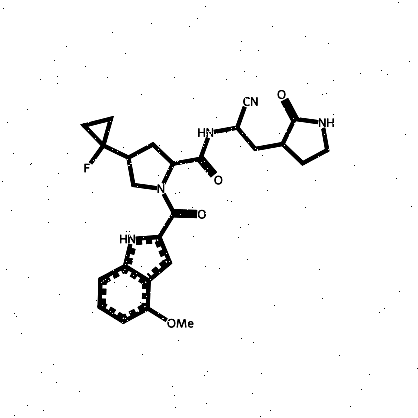 COc1cccc2[nH]c(C(=O)N3CC(C4(F)CC4)CC3C(=O)NC(C#N)CC3CCNC3=O)cc12